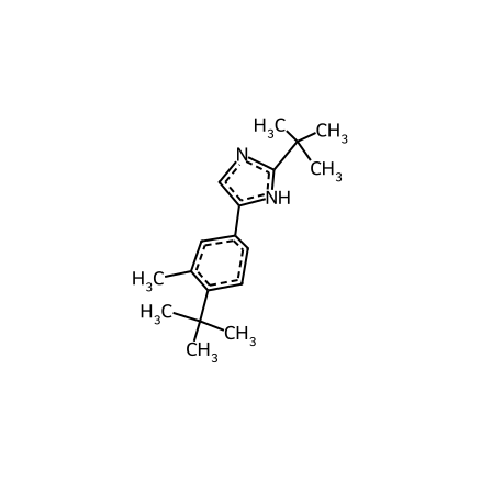 Cc1cc(-c2cnc(C(C)(C)C)[nH]2)ccc1C(C)(C)C